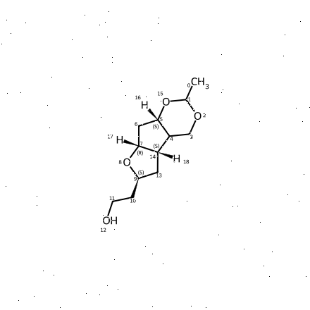 CC1OCC2[C@H](C[C@H]3O[C@H](CCO)C[C@@H]23)O1